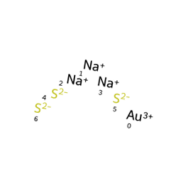 [Au+3].[Na+].[Na+].[Na+].[S-2].[S-2].[S-2]